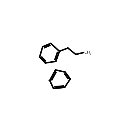 [CH2]CCc1ccccc1.[c]1ccccc1